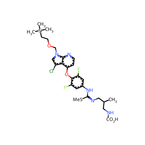 CS/C(=N/CC(C)CNC(=O)O)Nc1cc(F)c(Oc2ccnc3c2c(Cl)cn3COCC[Si](C)(C)C)c(F)c1